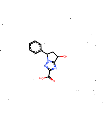 O=C(O)c1nc2n(n1)C(c1ccccc1)CC2O